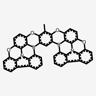 Cc1c2c(cc3c1Oc1ccc4c5c1B3c1cccc3c6cccc(c6n-5c13)O4)B1c3c(ccc4c3-n3c5c(cccc5c5cccc1c53)O4)O2